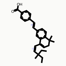 CCC(C)(/C=C\C1=CCC(C)(C)c2ccc(/C=C/c3ccc(C(=O)O)cc3)cc21)CC